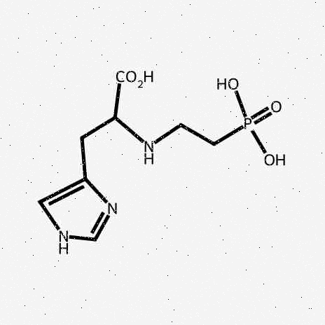 O=C(O)C(Cc1c[nH]cn1)NCCP(=O)(O)O